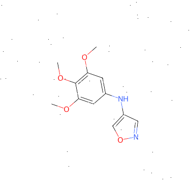 COc1cc(Nc2cnoc2)cc(OC)c1OC